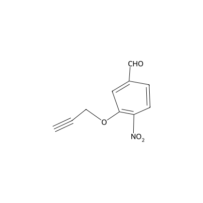 C#CCOc1cc(C=O)ccc1[N+](=O)[O-]